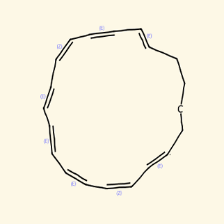 [C]1=C/C=C\C=C\C=C\C=C\C=C/C=C/C=C/CCCC/1